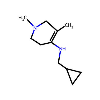 CC1=C(NCC2CC2)CCN(C)C1